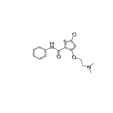 CN(C)CCOc1cc(Cl)sc1C(=O)Nc1ccccc1